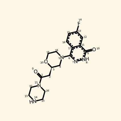 O=C(C[C@@H]1CN(c2n[nH]c(=O)c3cc(F)ccc23)CCO1)N1CCNCC1